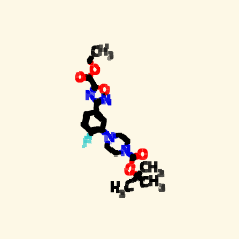 CCOC(=O)c1nc(-c2ccc(F)c(N3CCN(C(=O)OC(C)(C)C)CC3)c2)no1